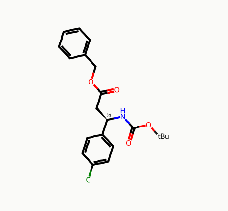 CC(C)(C)OC(=O)N[C@H](CC(=O)OCc1ccccc1)c1ccc(Cl)cc1